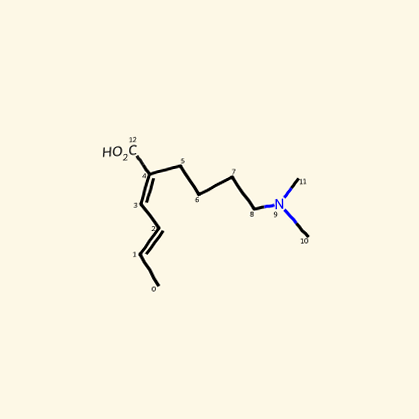 CC=CC=C(CCCCN(C)C)C(=O)O